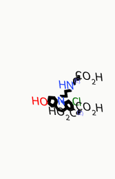 O=C(O)/C=C/CNCCCCN1c2ccc(O)cc2CCc2ccc(Cl)cc21.O=C(O)/C=C\C(=O)O